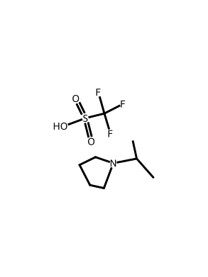 CC(C)N1CCCC1.O=S(=O)(O)C(F)(F)F